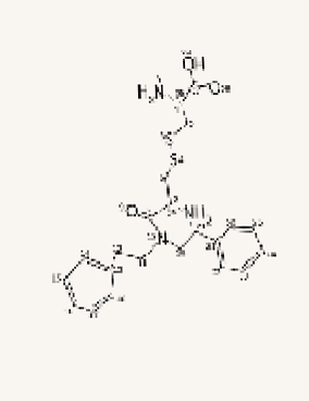 N[C@@H](CSSC[C@H](N)C(=O)N(CCc1ccccc1)CCc1ccccc1)C(=O)O